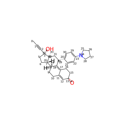 CC#C[C@]1(O)CC[C@H]2[C@@H]3CCC4=CC(=O)CCC4=C3[C@@H](c3ccc(N4CCCC4)cc3)C[C@@]21C